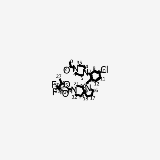 CC(=O)N1CCN(c2cc(Cl)ccc2CN2CCCC23CCN(C(=O)OC(C)C(F)(F)F)CC3)CC1